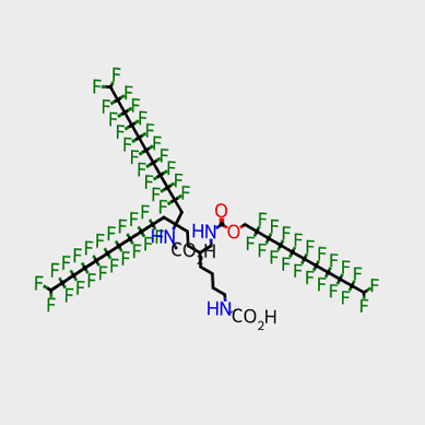 O=C(O)NCCCCC(CCC(CC(F)(F)C(F)(F)C(F)(F)C(F)(F)C(F)(F)C(F)(F)C(F)(F)C(F)(F)C(F)(F)C(F)F)(CC(F)(F)C(F)(F)C(F)(F)C(F)(F)C(F)(F)C(F)(F)C(F)(F)C(F)(F)C(F)(F)C(F)F)NC(=O)O)CNC(=O)OCC(F)(F)C(F)(F)C(F)(F)C(F)(F)C(F)(F)C(F)(F)C(F)(F)C(F)(F)C(F)(F)C(F)F